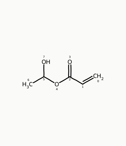 C=CC(=O)OC(C)O